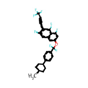 CC1CCC(c2ccc(C(F)(F)Oc3cc(F)c4c(F)c(C#CC(F)(F)F)c(F)cc4c3)cc2)CC1